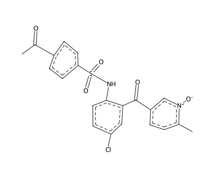 CC(=O)c1ccc(S(=O)(=O)Nc2ccc(Cl)cc2C(=O)c2ccc(C)[n+]([O-])c2)cc1